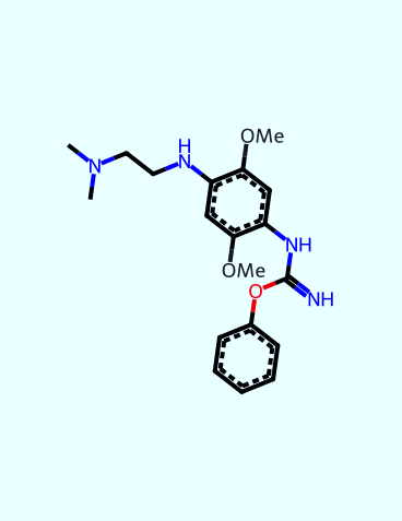 COc1cc(NC(=N)Oc2ccccc2)c(OC)cc1NCCN(C)C